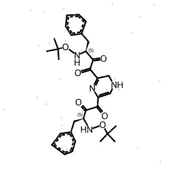 CC(C)(C)ON[C@@H](Cc1ccccc1)C(=O)C(=O)C1=CNCC(C(=O)C(=O)[C@H](Cc2ccccc2)NOC(C)(C)C)=N1